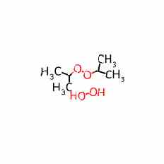 CC(C)OOC(C)C.OO